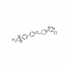 CS(=O)(=O)c1ccc(-c2ccc(OCC3CCN(c4cc(Cl)ncn4)CC3)cc2)cc1